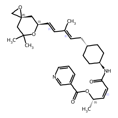 CC(/C=C/[C@@H]1C[C@]2(CO2)CC(C)(C)O1)=C\C[C@H]1CC[C@H](NC(=O)/C=C\[C@H](C)OC(=O)c2cccnc2)CC1